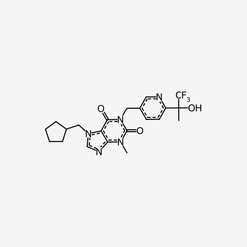 Cn1c(=O)n(Cc2ccc(C(C)(O)C(F)(F)F)nc2)c(=O)c2c1ncn2CC1CCCC1